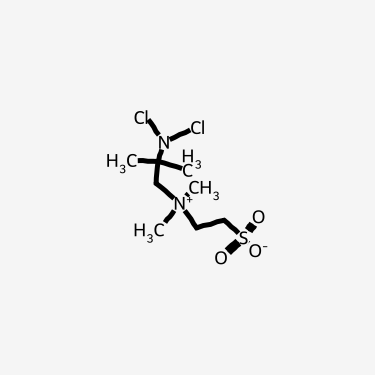 CC(C)(C[N+](C)(C)CCS(=O)(=O)[O-])N(Cl)Cl